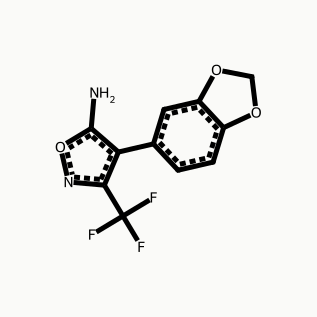 Nc1onc(C(F)(F)F)c1-c1ccc2c(c1)OCO2